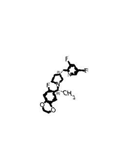 C[C@H](c1cc2c(cc1F)OCCO2)N1CC[C@H](Cc2ncc(F)cc2F)C1